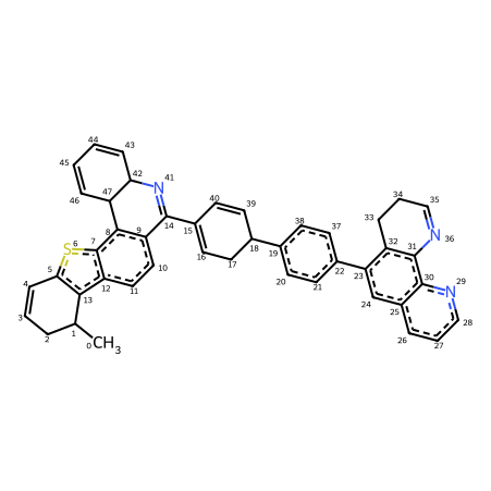 CC1CC=Cc2sc3c4c(ccc3c21)C(C1=CCC(c2ccc(-c3cc5cccnc5c5c3CCC=N5)cc2)C=C1)=NC1C=CC=CC41